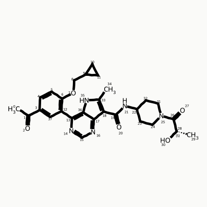 CC(=O)c1ccc(OCC2CC2)c(-c2ncnc3c(C(=O)NC4CCN(C(=O)[C@H](C)O)CC4)c(C)[nH]c23)c1